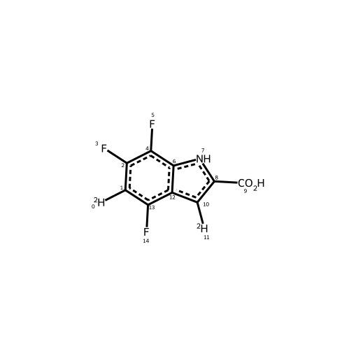 [2H]c1c(F)c(F)c2[nH]c(C(=O)O)c([2H])c2c1F